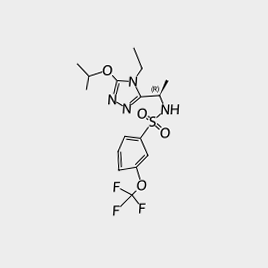 CCn1c(OC(C)C)nnc1[C@@H](C)NS(=O)(=O)c1cccc(OC(F)(F)F)c1